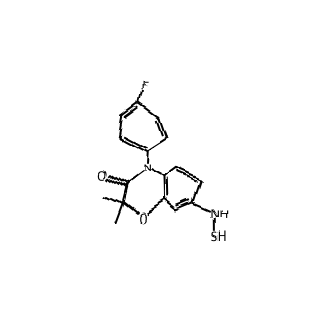 CC1(C)Oc2cc(NS)ccc2N(c2ccc(F)cc2)C1=O